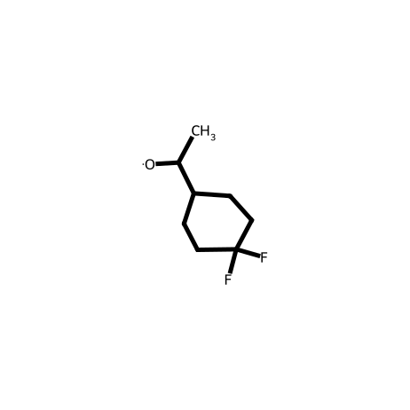 CC([O])C1CCC(F)(F)CC1